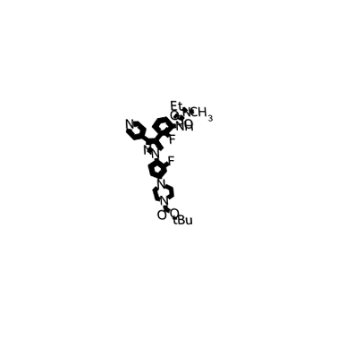 CCN(C)S(=O)(=O)Nc1cccc(-c2cn(-c3ccc(N4CCN(C(=O)OC(C)(C)C)CC4)cc3F)nc2-c2ccncc2)c1F